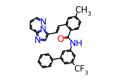 Cc1ccc(C(=O)Nc2cc(-c3ccccc3)cc(C(F)(F)F)c2)c(C=Cc2cnc3cccnn23)c1